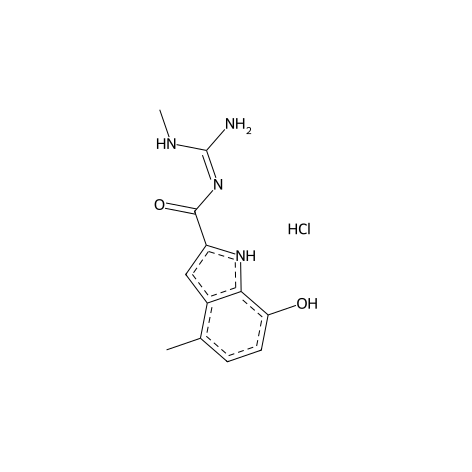 CNC(N)=NC(=O)c1cc2c(C)ccc(O)c2[nH]1.Cl